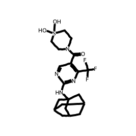 O=C(c1cnc(NC23CC4CC(CC(C4)C2)C3)nc1C(F)(F)F)N1CCS(O)(O)CC1